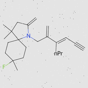 C#C/C=C(\CCC)C(=C)CN1C(=C)CC(C)(C)C12CCC(C)(F)CC2